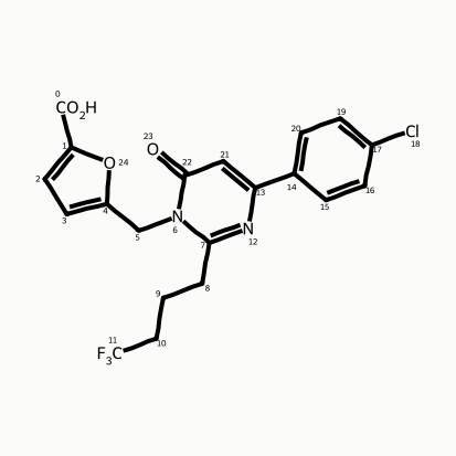 O=C(O)c1ccc(Cn2c(CCCC(F)(F)F)nc(-c3ccc(Cl)cc3)cc2=O)o1